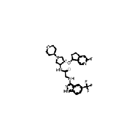 O=C(CNc1n[nH]c2ccc(C(F)(F)F)cc12)NC1CN(C2CCOCC2)C[C@@H]1OC1CCc2cc(F)ncc21